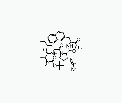 CCCC[C@@H](NC(=O)[C@H](C)N(C)C(=O)OC(C)(C)C)C(=O)N1CC[C@@H](N=[N+]=[N-])[C@H]1C(=O)N[C@@H](Cc1ccc2ccccc2c1)C(=O)OC